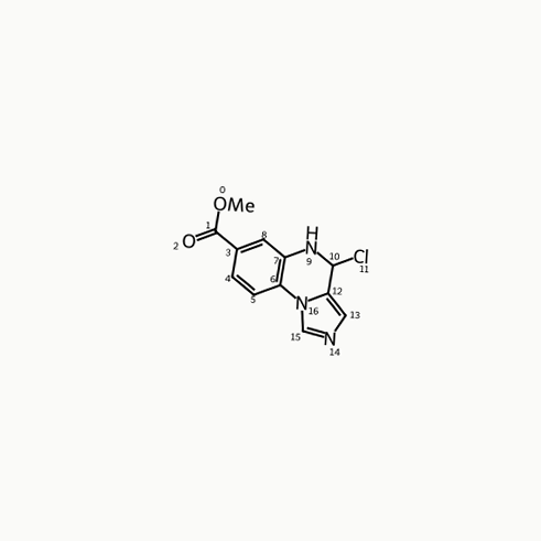 COC(=O)c1ccc2c(c1)NC(Cl)c1cncn1-2